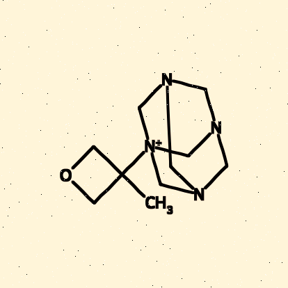 CC1([N+]23CN4CN(CN(C4)C2)C3)COC1